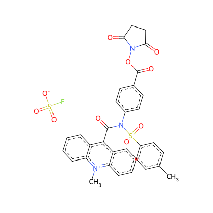 Cc1ccc(S(=O)(=O)N(C(=O)c2c3ccccc3[n+](C)c3ccccc23)c2ccc(C(=O)ON3C(=O)CCC3=O)cc2)cc1.O=S(=O)([O-])F